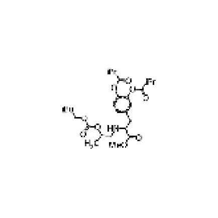 CCC(C)COC(=O)OC(C)CN[C@@H](Cc1ccc(OC(=O)C(C)C)c(OC(=O)C(C)C)c1)C(=O)OC